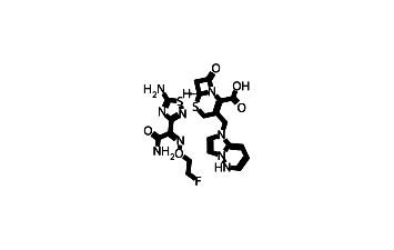 NC(=O)/C(=N\OCCF)c1nsc(N)n1.O=C(O)C1=C(CN2C=CN3NC=CC=C23)CS[C@H]2CC(=O)N12